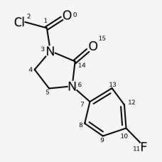 O=C(Cl)N1CCN(c2ccc(F)cc2)C1=O